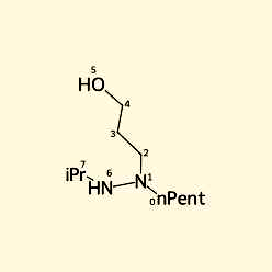 CCCCCN(CCCO)NC(C)C